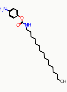 CCCCCCCCCCCCCCCCNC(=O)Oc1ccc(N)cc1